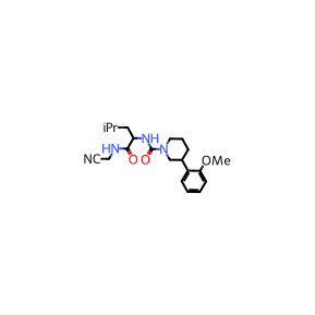 COc1ccccc1C1CCCN(C(=O)NC(CC(C)C)C(=O)NCC#N)C1